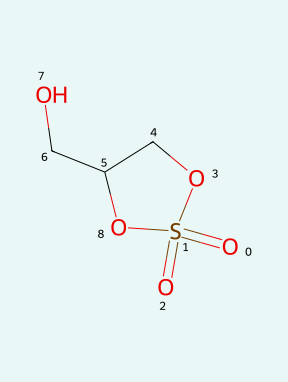 O=S1(=O)OCC(CO)O1